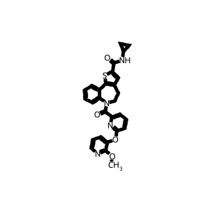 COc1ncccc1Oc1cccc(C(=O)N2CCc3cc(C(=O)NC4CC4)sc3-c3ccccc32)n1